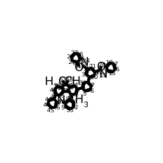 CC1C=C(c2cccc(-c3cc(-c4nc5ccccc5o4)cc(-c4nc5ccccc5o4)c3)c2)C=C2C1c1c(ccc3c4ccccc4n(-c4ccccc4)c13)C2(C)C